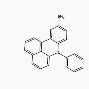 Bc1ccc2c(c1)-c1cccc3cccc(c13)N2c1ccccc1